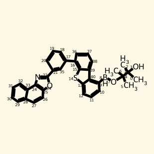 CC(C)(O)C(C)(C)OBc1cccc2sc3c(-c4cccc(-c5nc6c(ccc7ccccc76)o5)c4)cccc3c12